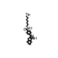 CN(C)CCCCCCCNC(=O)c1ccc(-c2n[nH]c3c2Cc2ccccc2-3)cc1